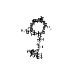 C/C(=N/O)C(C)(C)NCCC(CCNC(=O)CCCC(=O)NCCCC[C@@H]1NC(=O)CSC[C@@H](C(N)=O)NC(=O)[C@H](Cc2ccccc2)NC(=O)C(CS)NC(=O)[C@H](CC(=O)O)NC(=O)CNC(=O)[C@H](CCCNC(=N)N)NC(=O)[C@H](CS)NC1=O)CCNC(C)(C)/C(C)=N\O